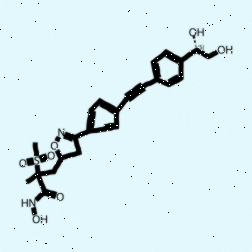 CC(CC1CC(c2ccc(C#Cc3ccc([C@H](O)CO)cc3)cc2)=NO1)(C(=O)NO)S(C)(=O)=O